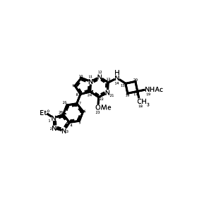 CCn1nnc2ccc(-c3ccn4nc(NC5CC(C)(NC(C)=O)C5)nc(OC)c34)cc21